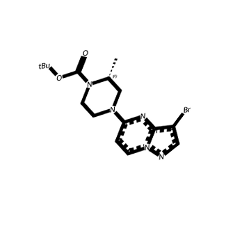 C[C@@H]1CN(c2ccn3ncc(Br)c3n2)CCN1C(=O)OC(C)(C)C